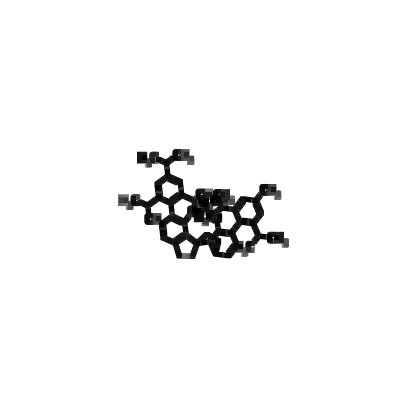 Cc1cc(C(C)C)c(-c2ccc3c4c2OP(=O)(O)Oc2c(-c5c(C(C)C)cc(C(C)C)cc5C(C)C)ccc5c2C4(CC3)CC5)c(C(C)C)c1